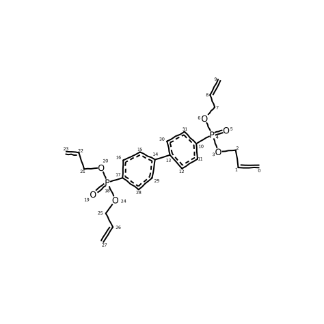 C=CCOP(=O)(OCC=C)c1ccc(-c2ccc(P(=O)(OCC=C)OCC=C)cc2)cc1